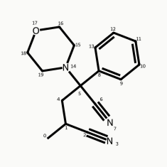 CC(C#N)CC(C#N)(c1ccccc1)N1CCOCC1